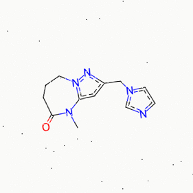 CN1C(=O)CCCn2nc(Cn3ccnc3)cc21